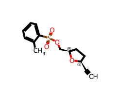 C#C[C@@H]1CC[C@H](COS(=O)(=O)c2ccccc2C)O1